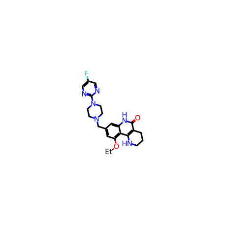 CCOc1cc(CN2CCN(c3ncc(F)cn3)CC2)cc2[nH]c(=O)c3c(c12)NCCC3